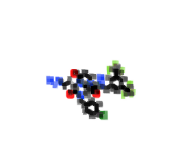 NCC[C@H]1C(=O)N(Cc2ccc(Cl)cc2)C[C@@H]2N(C(=O)NCc3cc(C(F)(F)F)cc(C(F)(F)F)c3)CCC(=O)N21